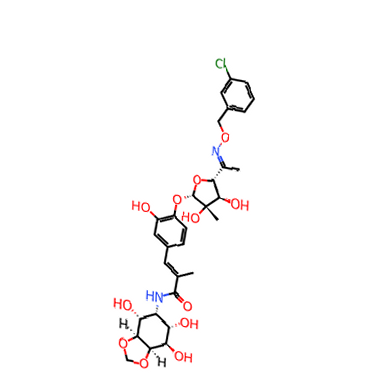 CC(=Cc1ccc(O[C@@H]2O[C@H](C(C)=NOCc3cccc(Cl)c3)[C@@H](O)[C@]2(C)O)c(O)c1)C(=O)N[C@@H]1[C@H](O)[C@@H](O)[C@H]2OCO[C@H]2[C@@H]1O